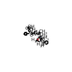 CCO[C@H](C[C@H](C(C)C)N(C)C(=O)[C@H](CC1CC1)NC(=O)[C@H]1CCCCN1C)c1nc(C(=O)N[C@@H](Cc2ccccc2)C[C@H](C)C(=O)O)cs1